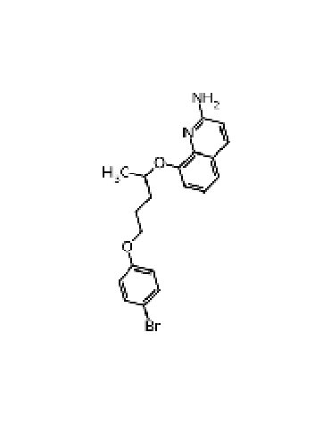 CC(CCCOc1ccc(Br)cc1)Oc1cccc2ccc(N)nc12